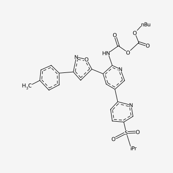 CCCCOC(=O)OC(=O)Nc1ncc(-c2ccc(S(=O)(=O)C(C)C)cn2)cc1-c1cc(-c2ccc(C)cc2)no1